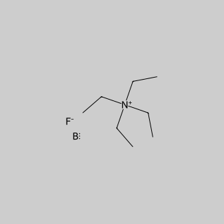 CC[N+](CC)(CC)CC.[B].[F-]